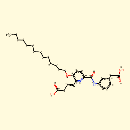 CCCCCCCCCCCCCCOc1ccc(C(=O)Nc2cccc(CC(=O)O)c2)nc1/C=C/CC(=O)O